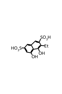 CCc1c(S(=O)(=O)O)cc2cc(S(=O)(=O)O)cc(O)c2c1O